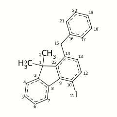 CC1(C)c2ccccc2-c2c(I)ccc(Cc3ccccc3)c21